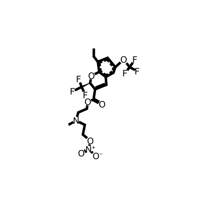 CCc1cc(OC(F)(F)F)cc2c1O[C@H](C(F)(F)F)C(C(=O)OCCN(C)CCO[N+](=O)[O-])=C2